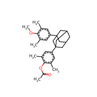 COc1c(C)cc(C23CC4CC(C2)CC(c2cc(C)c(OC(C)=O)c(C)c2)(C4)C3)cc1C